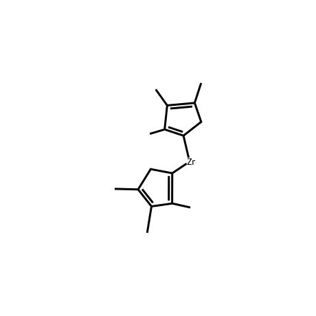 CC1=C(C)C(C)=[C]([Zr][C]2=C(C)C(C)=C(C)C2)C1